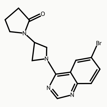 O=C1CCCN1C1CN(c2ncnc3ccc(Br)cc23)C1